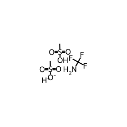 CS(=O)(=O)O.CS(=O)(=O)[O-].NC(F)(F)F.[H+]